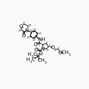 COCCO[C@@H]1C[C@H](C(=O)Nc2ccc(N3CCOCC3=O)cc2)N(C(=O)OC(C)(C)C)C1